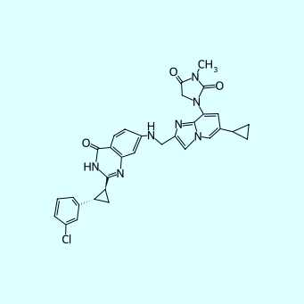 CN1C(=O)CN(c2cc(C3CC3)cn3cc(CNc4ccc5c(=O)[nH]c([C@H]6C[C@@H]6c6cccc(Cl)c6)nc5c4)nc23)C1=O